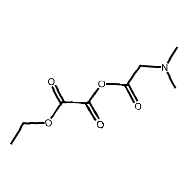 CCOC(=O)C(=O)OC(=O)CN(C)C